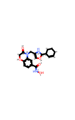 O=C(NO)c1ccc2c(c1)N(CC1=COC(C3C=CCCC3)N1)C(=O)CO2